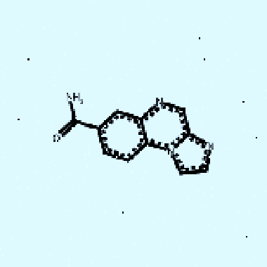 NC(=O)c1ccc2c(c1)ncc1nccn12